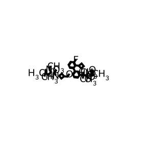 CN1CC(C)(C)C[C@H]1C(=O)NC1CC(COc2ccc(C(C)(C)C(=O)NS(C)(=O)=O)cc2-c2cccc(F)c2C2CCC2)C1